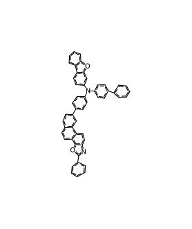 c1ccc(-c2ccc(N(c3ccc(-c4ccc5ccc6c(ccc7nc(-c8ccccc8)oc76)c5c4)cc3)c3ccc4c(c3)oc3ccccc34)cc2)cc1